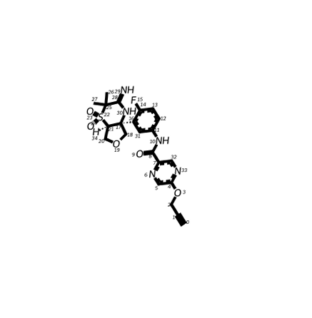 C#CCOc1cnc(C(=O)Nc2ccc(F)c([C@]34COC[C@H]3S(=O)(=O)C(C)(C)C(=N)N4)c2)cn1